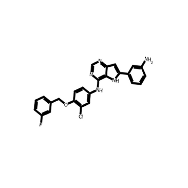 Nc1cccc(-c2cc3ncnc(Nc4ccc(OCc5cccc(F)c5)c(Cl)c4)c3[nH]2)c1